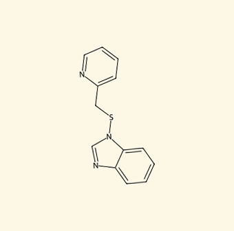 c1ccc(CSn2cnc3ccccc32)nc1